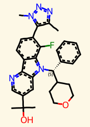 Cc1nnn(C)c1-c1ccc2c3ncc(C(C)(C)O)cc3n([C@H](c3ccccc3)C3CCOCC3)c2c1F